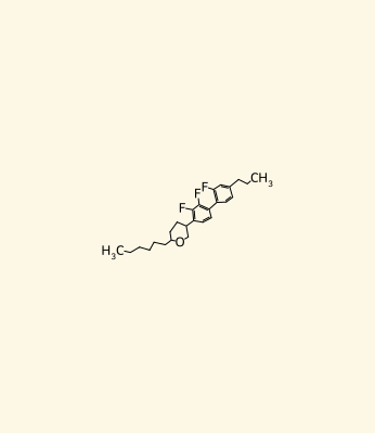 CCCCCCC1CCC(c2ccc(-c3ccc(CCC)cc3F)c(F)c2F)CO1